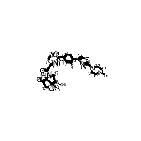 CC(C)C[C@H](NC(=O)c1ccc(-c2csc(N3CCN(C)CC3)n2)cc1)C(=O)N1C[C@@H](C)[C@H]2OCC(=O)[C@H]21